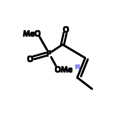 C/C=C/C(=O)P(=O)(OC)OC